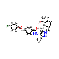 CNC(=O)c1cccc(Cn2nc(C)c(NC(=O)c3ccc(COc4ccc(F)cc4)cc3)c2C)c1